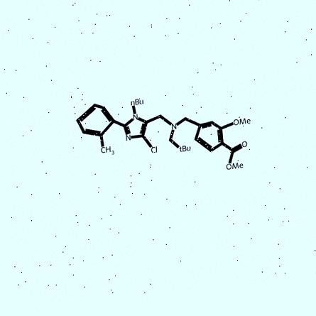 CCCCn1c(-c2ccccc2C)nc(Cl)c1CN(Cc1ccc(C(=O)OC)c(OC)c1)CC(C)(C)C